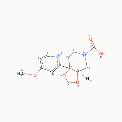 COc1ccnc(C23CCN(C(=O)O)C[C@H]2OCO3)c1